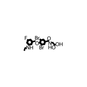 CCNc1cc(F)cc(COc2c(Br)cc(C(=O)NCC(=O)O)cc2Br)c1